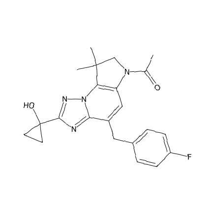 CC(=O)N1CC(C)(C)c2c1cc(Cc1ccc(F)cc1)c1nc(C3(O)CC3)nn21